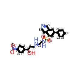 O=[N+]([O-])c1ccc(C(O)CCNCCNS(=O)(=O)c2cc(-c3ccccc3)cc3cnccc23)cc1